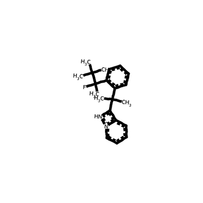 CC(C)(c1ccccc1C(C)(F)C(C)(C)C)c1[nH]n2ccccc12